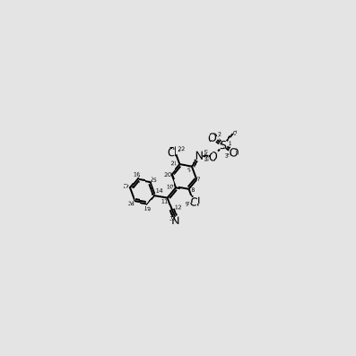 CS(=O)(=O)ON=C1C=C(Cl)C(=C(C#N)c2ccccc2)C=C1Cl